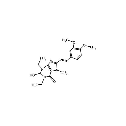 CCN1C(=O)c2c(nc(/C=C/c3ccc(OC)c(OC)c3)n2C)N(CC)C1O